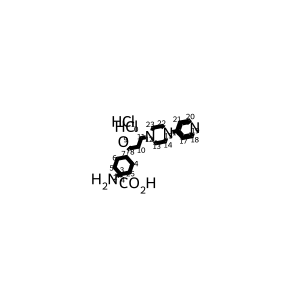 Cl.Cl.N[C@]1(C(=O)O)CC[C@H](C(=O)CCN2CCN(c3ccncc3)CC2)CC1